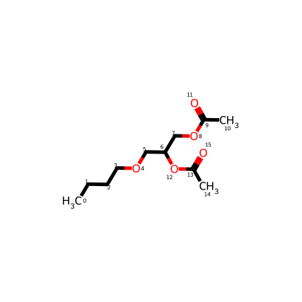 CCCCOCC(COC(C)=O)OC(C)=O